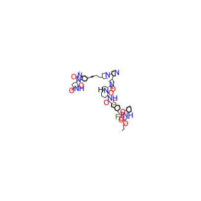 CCCOC(=O)[C@H](C)NP(=O)(Oc1ccccc1)[C@H](F)c1ccc2sc(C(=O)N[C@H]3CCC[C@H]4CC[C@@H](C(=O)N5CC(c6cnccc6N6CCC(CCC#Cc7ccc8c(c7)n(C)c(=O)n8C7CCC(=O)NC7=O)CC6)C5)N4C3=O)cc2c1